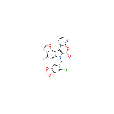 O=c1oc2ncccc2c2c3c4occc4c(F)cc3n(Cc3cc4c(cc3Cl)OCO4)c12